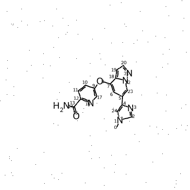 Cn1cnc(-c2cc(Oc3ccc(C(N)=O)nc3)c3ccnn3c2)c1